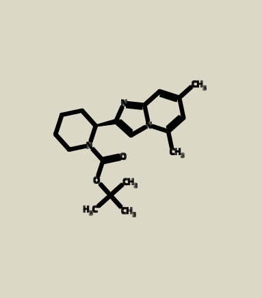 Cc1cc(C)n2cc([C@@H]3CCCCN3C(=O)OC(C)(C)C)nc2c1